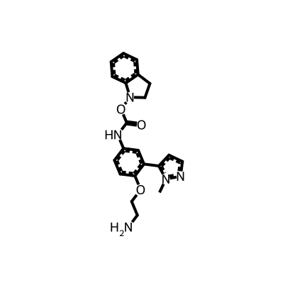 Cn1nccc1-c1cc(NC(=O)ON2CCc3ccccc32)ccc1OCCN